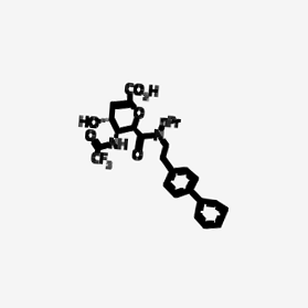 CCCN(CCc1ccc(-c2ccccc2)cc1)C(=O)[C@@H]1OC(C(=O)O)=C[C@@H](O)[C@H]1NC(=O)C(F)(F)F